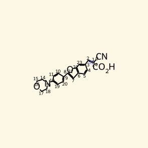 N#C/C(=C/c1ccc2cc(-c3ccc(N4CCOCC4)cc3)oc2c1)C(=O)O